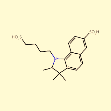 CC1N(CCCCS(=O)(=O)O)c2c(ccc3cc(S(=O)(=O)O)ccc23)C1(C)C